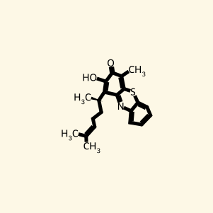 CC(C)=CCC[C@@H](C)c1c2nc3ccccc3sc-2c(C)c(=O)c1O